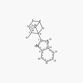 CC1CCC2CC1(c1nc3ccccc3s1)C2(C)C